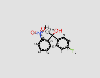 CC(O)(c1ccc(F)cc1)c1ccccc1[N+](=O)[O-]